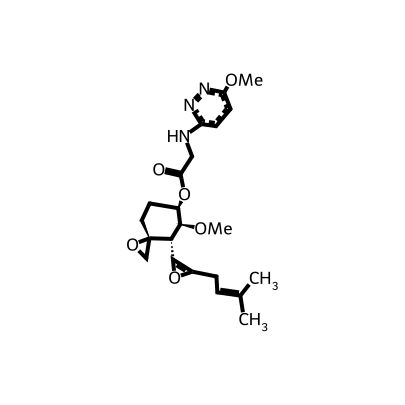 COc1ccc(NCC(=O)O[C@@H]2CC[C@]3(CO3)[C@@H](C3=C(CC=C(C)C)O3)[C@@H]2OC)nn1